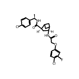 C[C@@H](NC(=O)[C@@H]1C[C@H](NC(=O)COc2ccc(Cl)c(F)c2)C2CC1C2)c1ccc(Cl)cc1